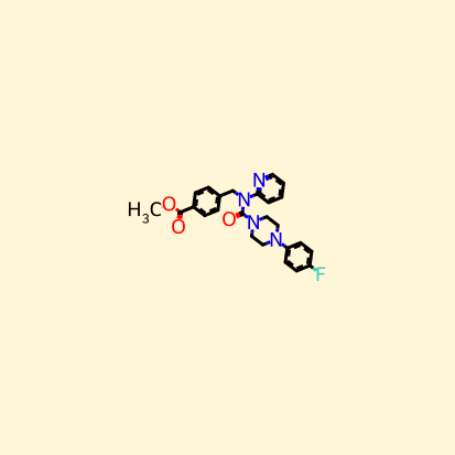 COC(=O)c1ccc(CN(C(=O)N2CCN(c3ccc(F)cc3)CC2)c2ccccn2)cc1